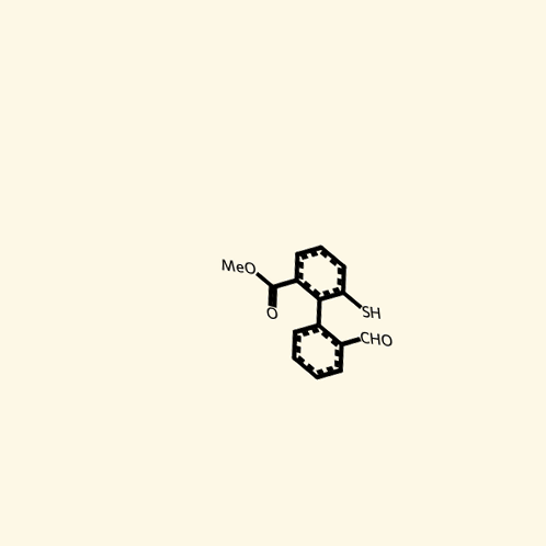 COC(=O)c1cccc(S)c1-c1ccccc1C=O